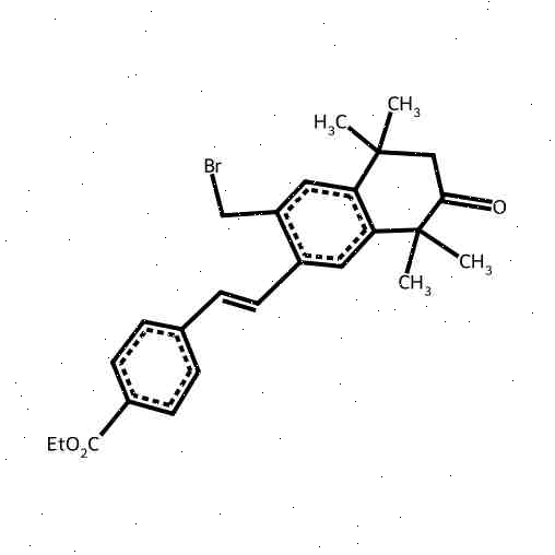 CCOC(=O)c1ccc(/C=C/c2cc3c(cc2CBr)C(C)(C)CC(=O)C3(C)C)cc1